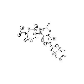 CC(C)CC(NC(=O)c1cc2ccccc2o1)C(=O)N[C@H]1CC[C@@H](C)N(C(=O)O)CC1=O